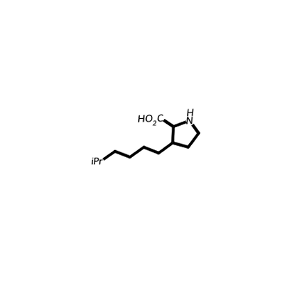 CC(C)CCCCC1CCNC1C(=O)O